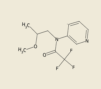 COC(C)CN(C(=O)C(F)(F)F)c1[c]ccnc1